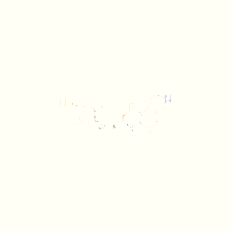 O=C(Nc1ccc2cnccc2c1F)[C@@H]1C[C@H]1c1ccc(S)cc1